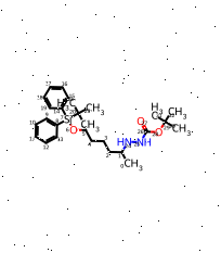 CC(CCCCO[Si](c1ccccc1)(c1ccccc1)C(C)(C)C)NNC(=O)OC(C)(C)C